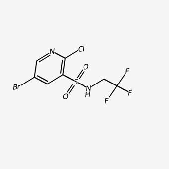 O=S(=O)(NCC(F)(F)F)c1cc(Br)cnc1Cl